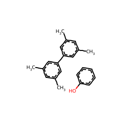 Cc1cc(C)cc(-c2cc(C)cc(C)c2)c1.Oc1ccccc1